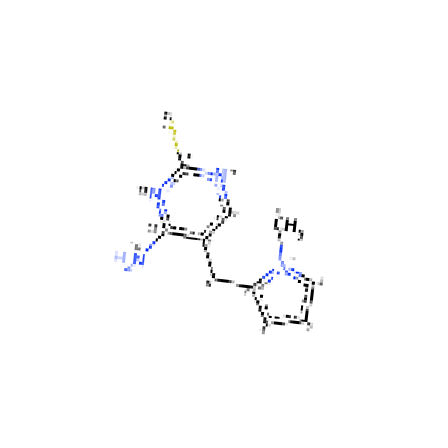 Cn1cccc1Cc1cnc([S])nc1N